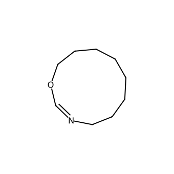 C1=NCCCCCCCCO1